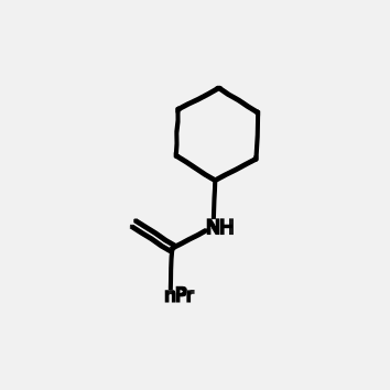 C=C(CCC)NC1CCCCC1